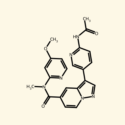 COc1ccnc(N(C)C(=O)c2ccn3ncc(-c4ccc(NC(C)=O)nc4)c3c2)c1